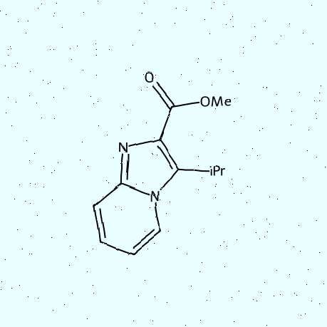 COC(=O)c1nc2ccccn2c1C(C)C